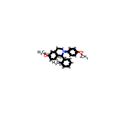 COc1ccc(N2CCc3cc(OC)ccc3C2c2ccccc2C)cc1